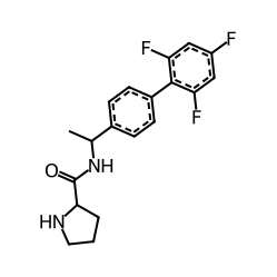 CC(NC(=O)C1CCCN1)c1ccc(-c2c(F)cc(F)cc2F)cc1